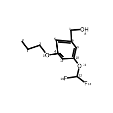 CCCOc1cc(CO)cc(OC(F)F)c1